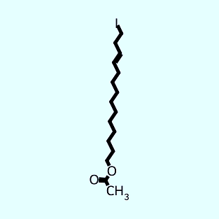 CC(=O)OCCCCCCCCCC/C=C/CCI